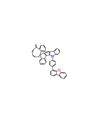 C=C1/C=C\C=C/CC2(c3ccccc31)c1ccccc1-c1c2ccc2c3ccccc3n(-c3ccc(-c4cccc5c4oc4ccccc45)cc3)c12